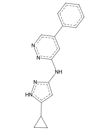 c1ccc(-c2cnnc(Nc3cc(C4CC4)[nH]n3)c2)cc1